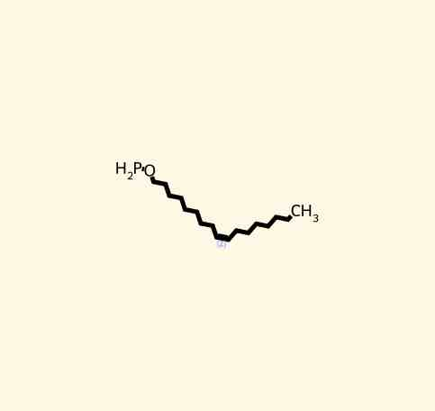 CCCCCCC/C=C\CCCCCCCCOP